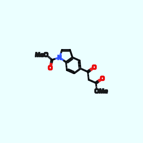 COC(=O)CC(=O)c1ccc2c(ccn2C(=O)OC)c1